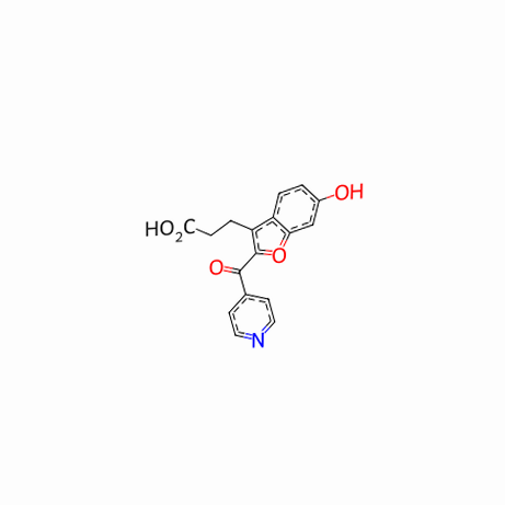 O=C(O)CCc1c(C(=O)c2ccncc2)oc2cc(O)ccc12